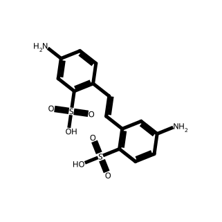 Nc1ccc(S(=O)(=O)O)c(/C=C/c2ccc(N)cc2S(=O)(=O)O)c1